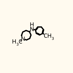 CC1=CCC=C(NC2CCCN(C)CCC2)C=C1